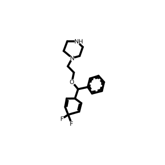 FC1(F)C=CC(C(OCCN2CCNCC2)c2ccccc2)C=C1